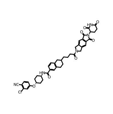 N#Cc1ccc(O[C@H]2CC[C@H](NC(=O)c3ccc4c(c3)CCC(CCCC(=O)N3Cc5cc6c(cc5C3)C(=O)N(C3CCC(=O)NC3=O)C6=O)C4)CC2)cc1Cl